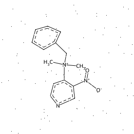 C[N+](C)(Cc1ccccc1)c1ccncc1[N+](=O)[O-]